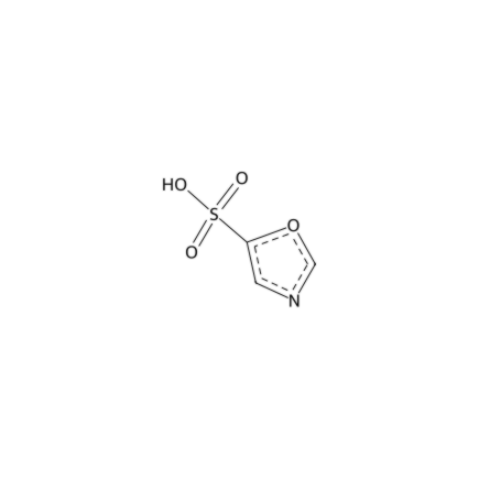 O=S(=O)(O)c1cnco1